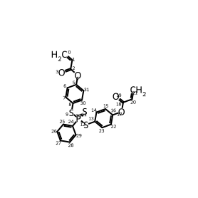 C=CC(=O)Oc1ccc(SP(=S)(Sc2ccc(OC(=O)C=C)cc2)c2ccccc2)cc1